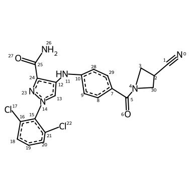 N#CC1CN(C(=O)c2ccc(Nc3cn(-c4c(Cl)cccc4Cl)nc3C(N)=O)cc2)C1